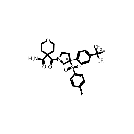 NC(=O)C1(C(=O)N2CC[C@](c3ccc(C(F)(C(F)(F)F)C(F)(F)F)cc3)(S(=O)(=O)c3ccc(F)cc3)C2)CCOCC1